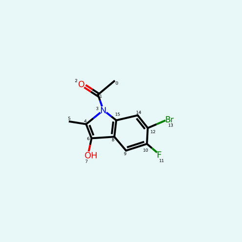 CC(=O)n1c(C)c(O)c2cc(F)c(Br)cc21